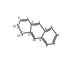 C1=Cc2cc3ccccc3cc2SS1